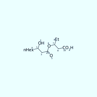 CCCCCCC(O)CC(=O)OC(CC)CC(=O)O